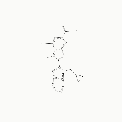 CCc1ccc2cc(-c3nc4cc(C(=O)OC)cc(OC)n4c3C)n(CC3CC3)c2n1